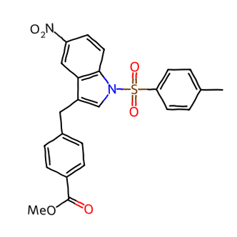 COC(=O)c1ccc(Cc2cn(S(=O)(=O)c3ccc(C)cc3)c3ccc([N+](=O)[O-])cc23)cc1